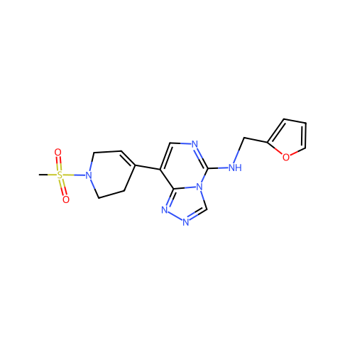 CS(=O)(=O)N1CC=C(c2cnc(NCc3ccco3)n3cnnc23)CC1